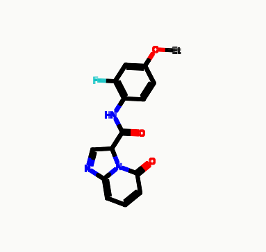 CCOc1ccc(NC(=O)C2C=Nc3cccc(=O)n32)c(F)c1